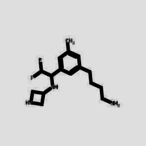 Cc1cc(CCCCN)cc(C(NC2CNC2)C(F)F)c1